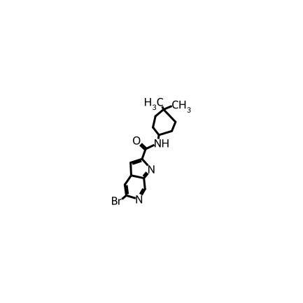 CC1(C)CCC(NC(=O)C2=CC3C=C(Br)N=CC3=N2)CC1